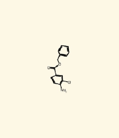 Nc1ccc(C(=O)OCc2ccccc2)cc1Cl